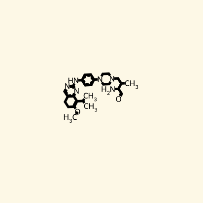 COC1=C(C(C)C)c2nc(Nc3ccc(N4CCN(CC(C)C(N)C=O)CC4)cc3)ncc2CC1